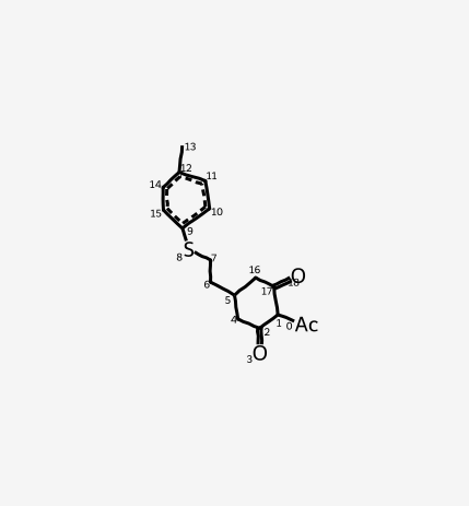 CC(=O)C1C(=O)CC(CCSc2ccc(C)cc2)CC1=O